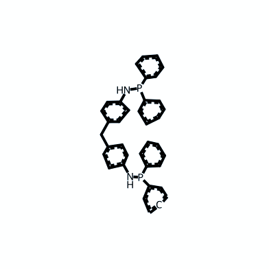 c1ccc(P(Nc2ccc(Cc3ccc(NP(c4ccccc4)c4ccccc4)cc3)cc2)c2ccccc2)cc1